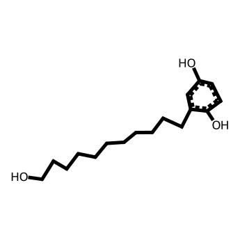 OCCCCCCCCCCCc1cc(O)ccc1O